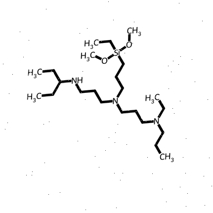 CCCN(CC)CCCN(CCCNC(CC)CC)CCC[Si](CC)(OC)OC